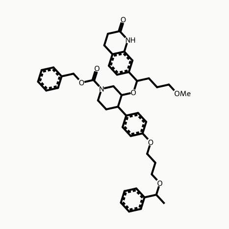 COCCCC(OC1CN(C(=O)OCc2ccccc2)CCC1c1ccc(OCCCOC(C)c2ccccc2)cc1)c1ccc2c(c1)NC(=O)CC2